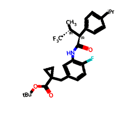 CC(C)c1ccc([C@@H](C(=O)Nc2cc(CC3(C(=O)OC(C)(C)C)CC3)ccc2F)[C@@H](C)C(F)(F)F)cc1